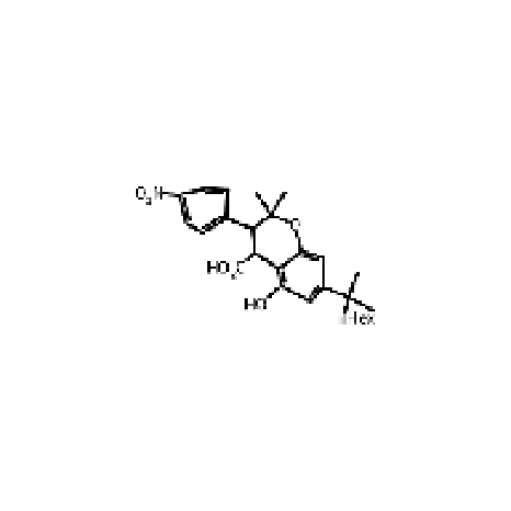 CCCCCCC(C)(C)c1cc(O)c2c(c1)OC(C)(C)C(c1ccc([N+](=O)[O-])cc1)C2C(=O)O